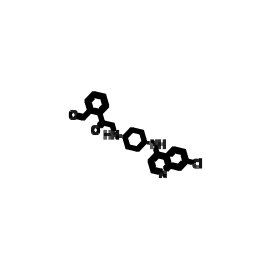 O=Cc1ccccc1C(=O)CN[C@H]1CC[C@@H](Nc2ccnc3cc(Cl)ccc23)CC1